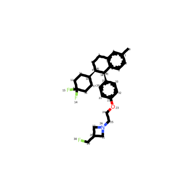 Cc1ccc2c(c1)CC[C@H](C1CCC(F)(F)CC1)[C@@H]2c1ccc(OCCN2CC(CF)C2)cc1